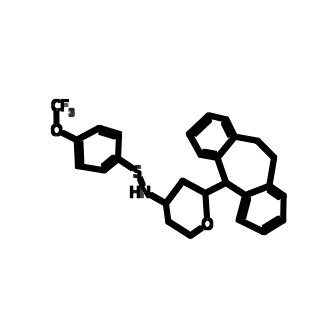 FC(F)(F)Oc1ccc(SNC2CCOC(C3c4ccccc4CCc4ccccc43)C2)cc1